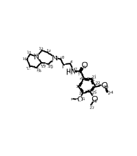 COc1cc(C(=O)NCCCN2CCN3CCCCC3C2)cc(OC)c1OC